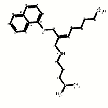 CN(C)CCCNC/C(=C/CCCCC(=O)O)COc1cccc2ccccc12